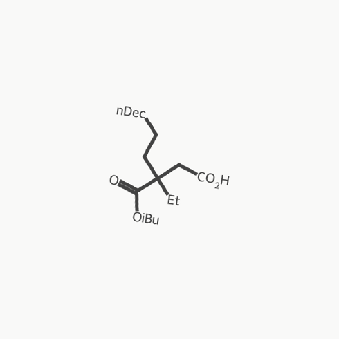 CCCCCCCCCCCCC(CC)(CC(=O)O)C(=O)OCC(C)C